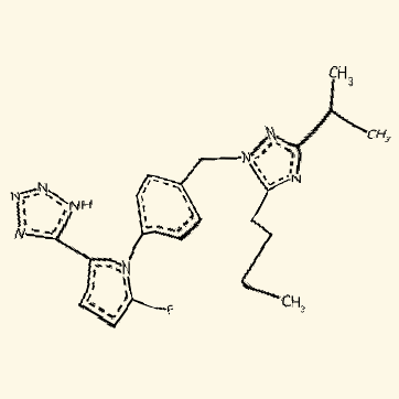 CCCCc1nc(C(C)C)nn1Cc1ccc(-n2c(F)ccc2-c2nnn[nH]2)cc1